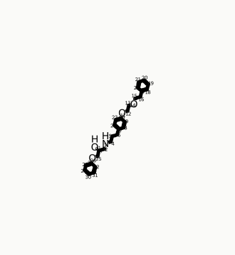 O[C@@H](CNCCCc1ccc(OCCOCCc2ccccc2)cc1)COc1ccccc1